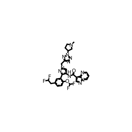 CN1CCC(n2nnc(Cn3cc(NC(=O)c4cnn5cccnc45)c(-c4cc(CC(F)F)ccc4OC(F)F)n3)n2)C1